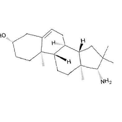 CC1(C)C[C@H]2[C@@H]3CC=C4C[C@@H](O)CC[C@]4(C)[C@H]3CC[C@]2(C)[C@H]1N